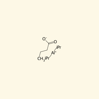 CCCC(=O)[O-].C[CH](C)[Al+][CH](C)C